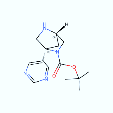 CC(C)(C)OC(=O)N1C[C@@H]2C[C@]1(c1cncnc1)CN2